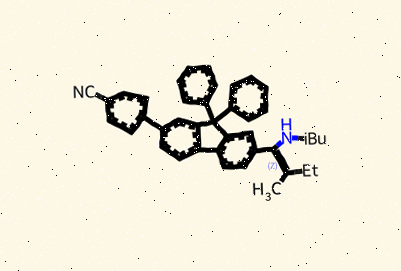 CC/C(C)=C(\NC(C)CC)c1ccc2c(c1)C(c1ccccc1)(c1ccccc1)c1cc(-c3ccc(C#N)cc3)ccc1-2